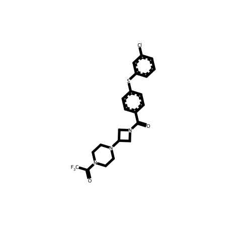 O=C(c1ccc(Sc2cccc(Cl)c2)cc1)N1CC(N2CCN(C(=O)C(F)(F)F)CC2)C1